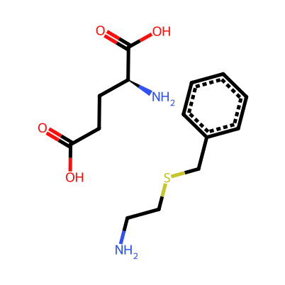 NCCSCc1ccccc1.N[C@@H](CCC(=O)O)C(=O)O